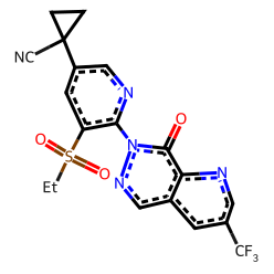 CCS(=O)(=O)c1cc(C2(C#N)CC2)cnc1-n1ncc2cc(C(F)(F)F)cnc2c1=O